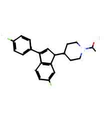 CC(O)N1CCC(C2C=C(c3ccc(F)cc3)c3ccc(F)cc32)CC1